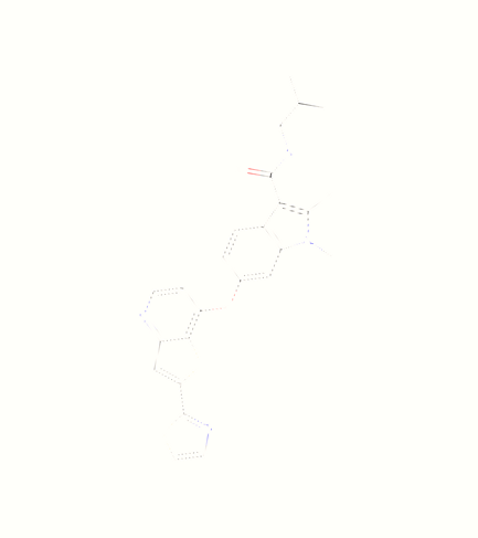 Cc1c(C(=O)NCC(C)C)c2ccc(Oc3ccnc4cc(-c5nccs5)sc34)cc2n1C